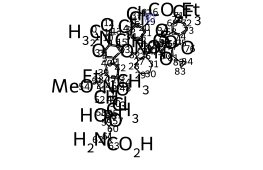 CC1COc2ccccc2N1C(=O)C(Cl)Cl.CCOC(=O)/C(Cl)=C/c1cc(N2C(=O)C3=C(CCCC3)C2=O)ccc1Cl.CCc1cccc(C)c1N(C(=O)CCl)C(C)COC.CP(=O)(O)CCC(N)C(=O)O.CS(=O)(=O)c1cc(C(F)(F)F)ccc1C(=O)c1cnoc1C1CC1